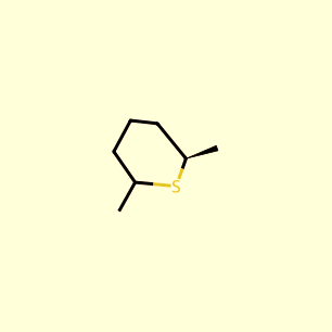 CC1CCC[C@@H](C)S1